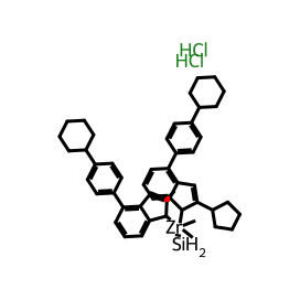 CC1=Cc2c(-c3ccc(C4CCCCC4)cc3)cccc2[CH]1[Zr]([CH3])([CH3])(=[SiH2])[CH]1C(C2CCCC2)=Cc2c(-c3ccc(C4CCCCC4)cc3)cccc21.Cl.Cl